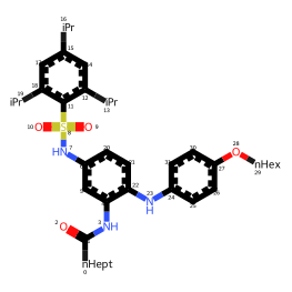 CCCCCCCC(=O)Nc1cc(NS(=O)(=O)c2c(C(C)C)cc(C(C)C)cc2C(C)C)ccc1Nc1ccc(OCCCCCC)cc1